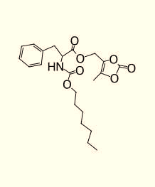 CCCCCCCOC(=O)NC(Cc1ccccc1)C(=O)OCc1oc(=O)oc1C